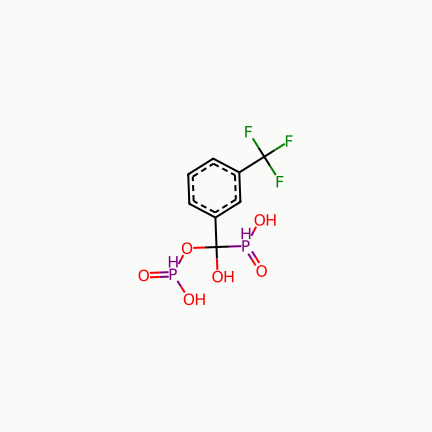 O=[PH](O)OC(O)(c1cccc(C(F)(F)F)c1)[PH](=O)O